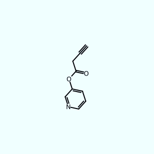 C#CCC(=O)Oc1cccnc1